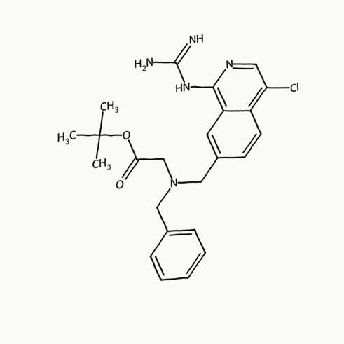 CC(C)(C)OC(=O)CN(Cc1ccccc1)Cc1ccc2c(Cl)cnc(NC(=N)N)c2c1